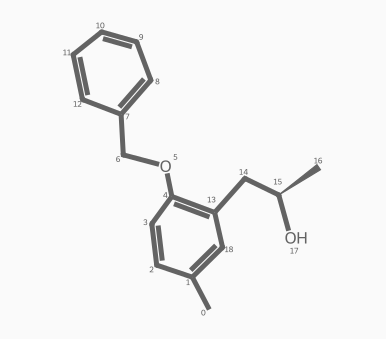 Cc1ccc(OCc2ccccc2)c(C[C@@H](C)O)c1